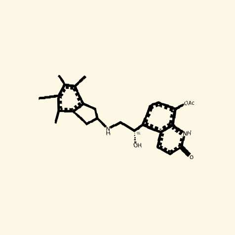 CC(=O)Oc1ccc([C@H](O)CNC2Cc3c(C)c(C)c(C)c(C)c3C2)c2ccc(=O)[nH]c12